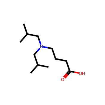 CC(C)CN(CCCC(=O)O)CC(C)C